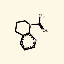 C=C(C)N1CCCc2cccnc21